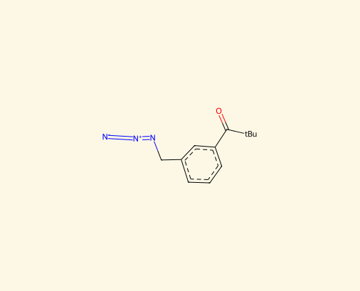 CC(C)(C)C(=O)c1cccc(CN=[N+]=[N-])c1